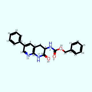 O=C(NC1Cc2cc(-c3ccccc3)cnc2NC1=O)OCc1ccccc1